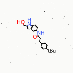 CC(C)(C)c1ccc(CCC(=O)Nc2ccc3[nH]c(CO)cc3c2)cc1